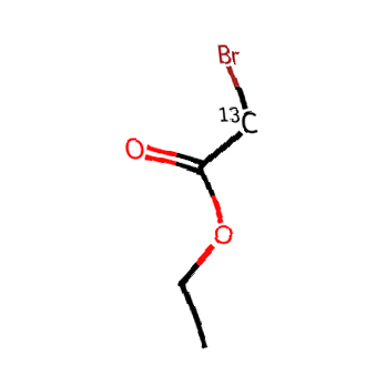 CCOC(=O)[13CH2]Br